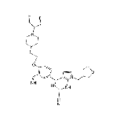 N#CC1Nc2c(ccn2CC2CCOC2)C(c2ccc(OCCC3CCN(C(CF)CF)CC3)c(C=N)c2)N1